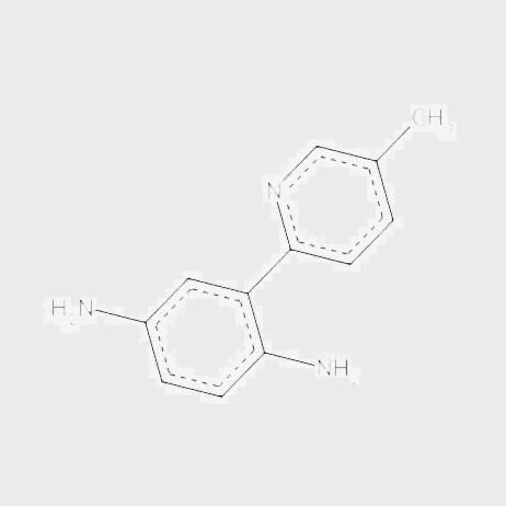 Cc1ccc(-c2cc(N)ccc2N)nc1